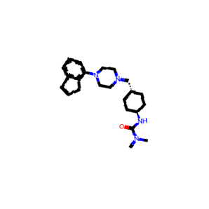 CN(C)C(=O)N[C@H]1CC[C@H](CN2CCN(c3cccc4c3CCC4)CC2)CC1